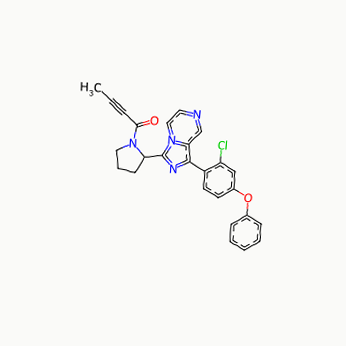 CC#CC(=O)N1CCCC1c1nc(-c2ccc(Oc3ccccc3)cc2Cl)c2cnccn12